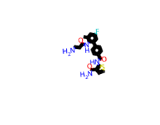 Cc1cc(F)cc(-c2ccc(C(=O)Nc3sccc3C(N)=O)cc2)c1NC(=O)CCN